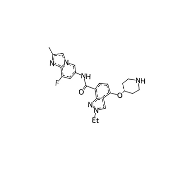 CCn1cc2c(OC3CCNCC3)ccc(C(=O)Nc3cc(F)c4nc(C)cn4c3)c2n1